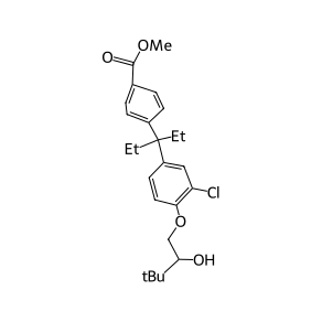 CCC(CC)(c1ccc(C(=O)OC)cc1)c1ccc(OCC(O)C(C)(C)C)c(Cl)c1